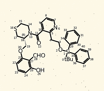 CC(C)(C)[Si](OCCc1ncccc1C(=O)N1CCSC[C@H]1COc1cccc(O)c1C=O)(c1ccccc1)c1ccccc1